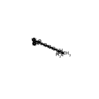 CC(C)COCC(=O)NCCCOCCCOCCCOCCCCNC(=O)OCC1c2ccccc2-c2ccccc21